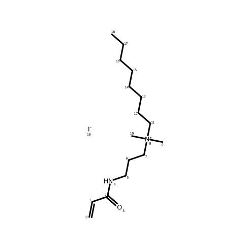 C=CC(=O)NCCC[N+](C)(C)CCCCCCCC.[I-]